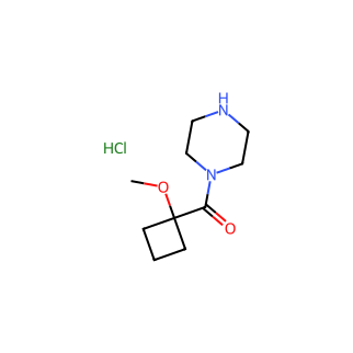 COC1(C(=O)N2CCNCC2)CCC1.Cl